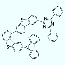 c1ccc(-c2nc(-c3ccccc3)nc(-c3ccc4sc5cc(-c6cccc7sc8ccc(-n9c%10ccccc%10c%10ccccc%109)cc8c67)ccc5c4c3)n2)cc1